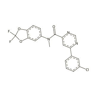 CN(C(=O)c1cc(-c2cccc(Cl)c2)ncn1)c1ccc2c(c1)OC(F)(F)O2